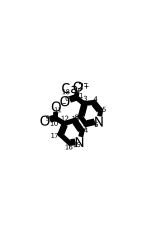 O=C([O-])c1ccncc1.O=C([O-])c1ccncc1.[Ca+2]